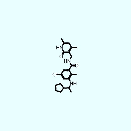 Cc1cc(C)c(CNC(=O)c2cc(Cl)cc(NC(C)C3CCCC3)c2C)c(=O)[nH]1